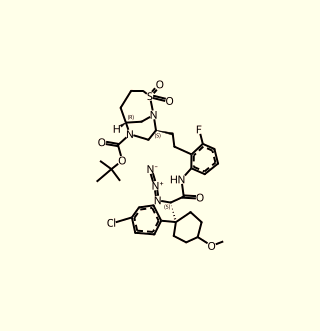 COC1CCC(c2ccc(Cl)cc2)([C@H](N=[N+]=[N-])C(=O)Nc2cccc(F)c2CC[C@H]2CN(C(=O)OC(C)(C)C)[C@@H]3CCCS(=O)(=O)N2C3)CC1